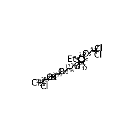 CCc1cc(OCC=C(Cl)Cl)cc(C)c1OCCCCOC/C=N/OCC=C(Cl)Cl